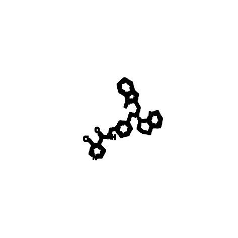 Cn1c(CN(Cc2cccc(CNC(=O)c3ccncc3Cl)c2)C2CCCc3cccnc32)cc2ccccc21